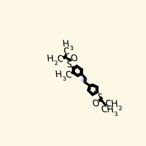 C=C(C)C(=O)Sc1ccc(/C=C/c2ccc(SC(=O)C(=C)C)c(C)c2)cc1